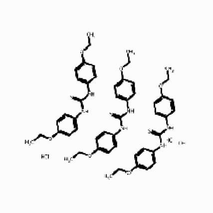 CCOc1ccc(NC(=S)Nc2ccc(OCC)cc2)cc1.CCOc1ccc(NC(=S)Nc2ccc(OCC)cc2)cc1.CCOc1ccc(NC(=S)Nc2ccc(OCC)cc2)cc1.Cl.Cl.Cl